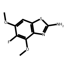 COc1cc2sc(N)nc2c(OC)c1F